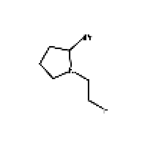 CC(C)C1CCCN1CCF